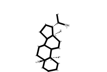 CC(O)[C@H]1CCC2C3CC[C@H]4CCCC[C@]4(C)C3CC[C@@]21C